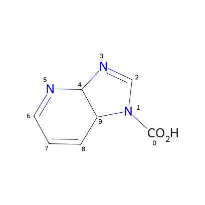 O=C(O)N1C=NC2N=CC=CC21